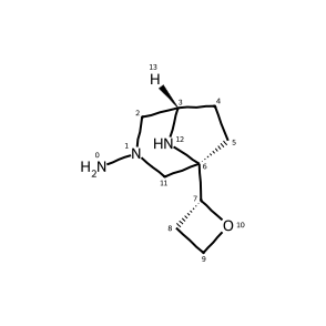 NN1C[C@@H]2CC[C@]([C@H]3CCO3)(C1)N2